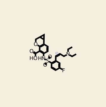 CCN(CC)C/C=C\c1cc(F)ccc1S(=O)(=O)Nc1ccc2c(c1C(=O)O)OCC1CC21